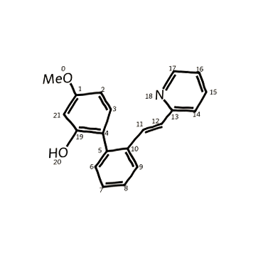 COc1ccc(-c2ccccc2/C=C/c2ccccn2)c(O)c1